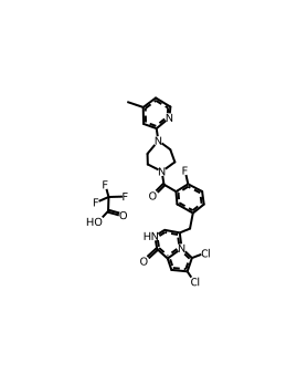 Cc1ccnc(N2CCN(C(=O)c3cc(Cc4c[nH]c(=O)c5cc(Cl)c(Cl)n45)ccc3F)CC2)c1.O=C(O)C(F)(F)F